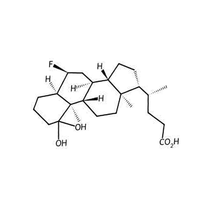 C[C@H](CCC(=O)O)[C@H]1CC[C@H]2[C@@H]3C[C@H](F)[C@@H]4CCCC(O)(O)[C@]4(C)[C@H]3CC[C@]12C